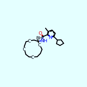 BC1(NC(=O)c2nc(C3CCCC3)ccc2C)CCCCCCCCCCCC1